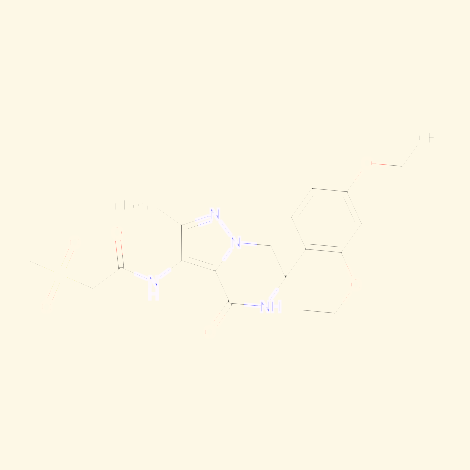 CCCCCc1nn2c(c1NC(=O)CS(C)(=O)=O)C(=O)N[C@@]1(CCOc3cc(OCC(F)(F)F)ccc31)C2